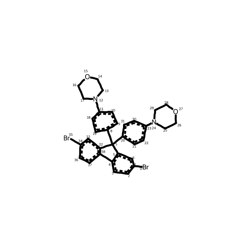 Brc1ccc2c(c1)C(c1ccc(N3CCOCC3)cc1)(c1ccc(N3CCOCC3)cc1)c1cc(Br)ccc1-2